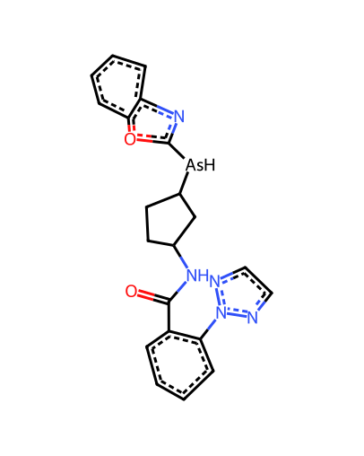 O=C(NC1CCC([AsH]c2nc3ccccc3o2)C1)c1ccccc1-n1nccn1